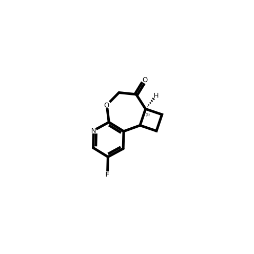 O=C1COc2ncc(F)cc2C2CC[C@H]12